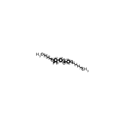 CCCCCCCCCOc1ccc(C(=O)Oc2ccc(-c3ccc(OCCCCCCCC)c(F)c3F)cc2)cc1